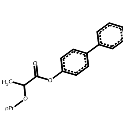 CCCOC(C)C(=O)Oc1ccc(-c2ccccc2)cc1